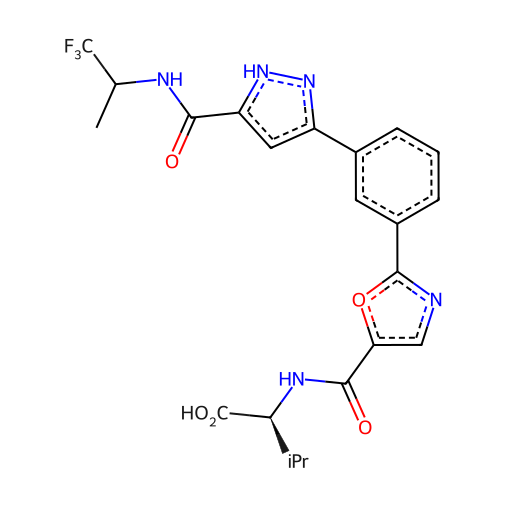 CC(C)[C@H](NC(=O)c1cnc(-c2cccc(-c3cc(C(=O)NC(C)C(F)(F)F)[nH]n3)c2)o1)C(=O)O